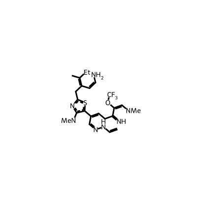 C=CN/N=C\C(=C/CC(=N)/C(=C\NC)OC(F)(F)F)c1sc(CC(/C=C\N)=C(\C)CC)nc1NC